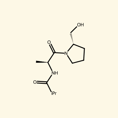 CC(C)C(=O)N[C@@H](C)C(=O)N1CCC[C@H]1CO